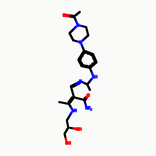 CC(=O)N1CCN(c2ccc(NC(C)/N=C\C(C(N)=O)=C(/C)NC[C@@H](O)CO)cc2)CC1